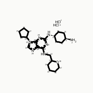 Cl.Cl.N[C@H]1CC[C@H](Nc2nc(NCC3CCCCO3)c3ncn(C4CCCC4)c3n2)CC1